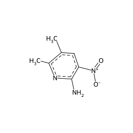 Cc1cc([N+](=O)[O-])c(N)nc1C